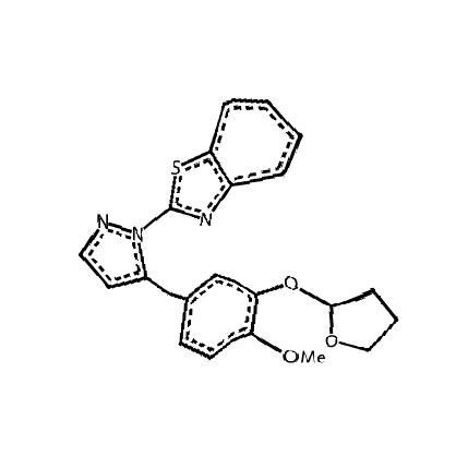 COc1ccc(-c2ccnn2-c2nc3ccccc3s2)cc1OC1CCCO1